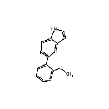 CSc1ccccc1-c1ncc2[nH]ccc2n1